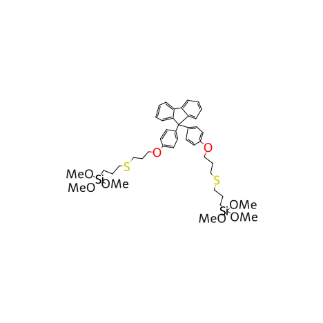 CO[Si](CCCSCCCOc1ccc(C2(c3ccc(OCCCSCCC[Si](OC)(OC)OC)cc3)c3ccccc3-c3ccccc32)cc1)(OC)OC